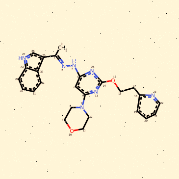 CC(=NNc1cc(N2CCOCC2)nc(OCCc2ccccn2)n1)c1c[nH]c2ccccc12